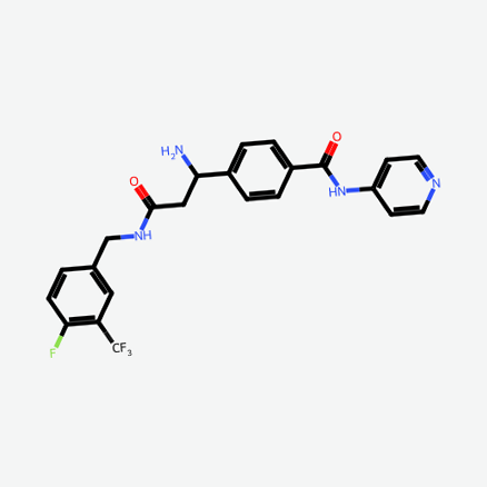 NC(CC(=O)NCc1ccc(F)c(C(F)(F)F)c1)c1ccc(C(=O)Nc2ccncc2)cc1